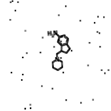 Nc1ccc2c(c1)C(CN1CCCCC1)CC2